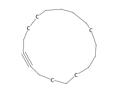 C1#CCCCCCCCCCCCCCCC1